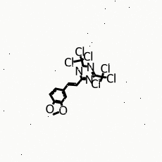 ClC(Cl)(Cl)c1nc(C=Cc2ccc3c(c2)OCO3)nc(C(Cl)(Cl)Cl)n1